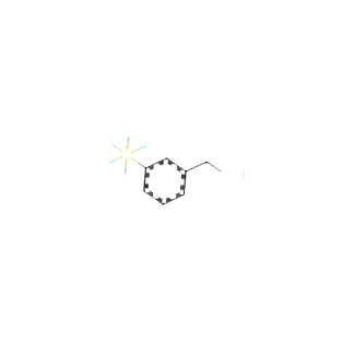 O=C(O)Cc1cccc(S(F)(F)(F)(F)F)c1